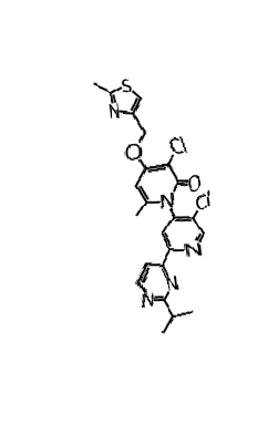 Cc1nc(COc2cc(C)n(-c3cc(-c4ccnc(C(C)C)n4)ncc3Cl)c(=O)c2Cl)cs1